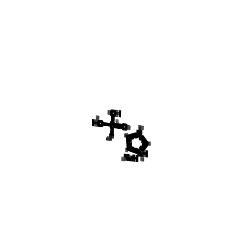 O=P(O)(O)F.[NaH].c1c[nH]cn1